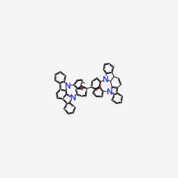 C1=CC2c3ccccc3N(c3ccc(-c4ccc(-n5c6ccccc6c6ccc7c8ccccc8n(-c8ccccc8)c7c65)cc4)cc3)C2c2c1c1ccccc1n2-c1ccccc1